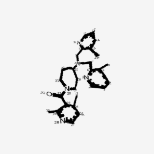 Cc1cccnc1CN(Cc1ncccc1C)C1CCN(C(=O)c2c(C)ccnc2C)CC1